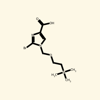 C[Si](C)(C)CCOCn1cc(C(=O)O)nc1Br